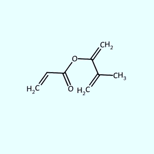 C=CC(=O)OC(=C)C(=C)C